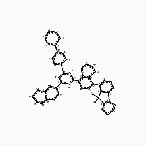 CC1(C)c2ccccc2-c2cccc(-c3ccc(-c4nc(-c5ccc(-c6ccccc6)cc5)cc(-c5ccc6ccccc6c5)n4)c4ccccc34)c21